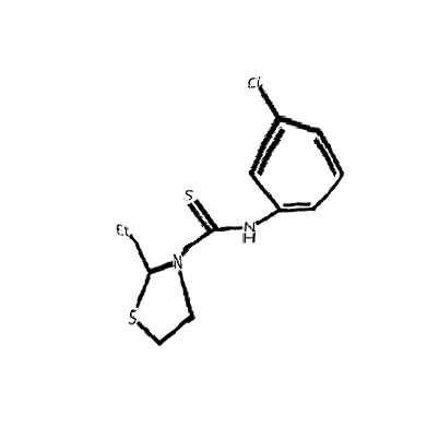 CCC1SCCN1C(=S)Nc1cccc(Cl)c1